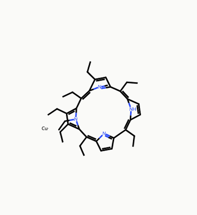 CCC1=Cc2nc1c(CC)c1c(CC)c(CC)c(c(CC)c3nc(c(CC)c4ccc([nH]4)c2CC)C=C3)n1CC.[Cu]